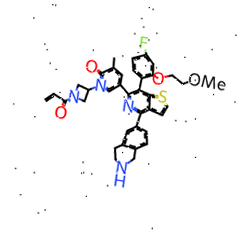 C=CC(=O)N1CC(n2cc(-c3nc(-c4ccc5c(c4)CCNC5)c4ccsc4c3-c3ccc(F)cc3OCCOC)cc(C)c2=O)C1